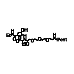 CCCC(C)NCCOCCOCCOCC(=O)NC(C(=O)N1CC(O)CC1C(=O)NCC)C(C)(C)C